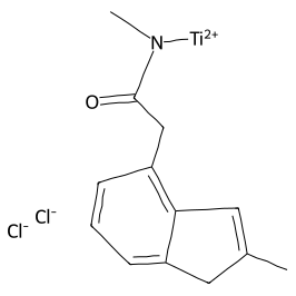 CC1=Cc2c(CC(=O)[N](C)[Ti+2])cccc2C1.[Cl-].[Cl-]